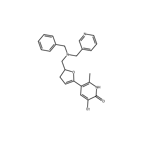 CCc1cc(C2=CCC(CN(Cc3ccccc3)Cc3cccnc3)O2)c(C)[nH]c1=O